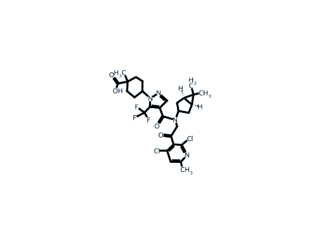 Cc1cc(Cl)c(C(=O)CN(C(=O)c2cnn(C3CCC(C)(C(=O)O)CC3)c2C(F)(F)F)C2C[C@@H]3[C@H](C2)C3(C)C)c(Cl)n1